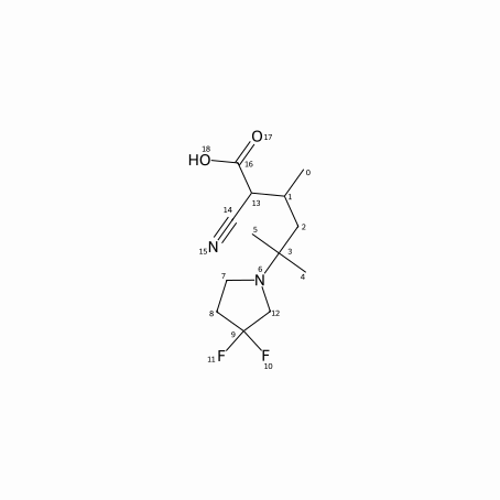 CC(CC(C)(C)N1CCC(F)(F)C1)C(C#N)C(=O)O